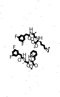 COC(=O)[C@H](CCCCN(C)C)NC(=O)[C@H](C)NC(=O)Cc1cc(F)cc(F)c1.COC(=O)[C@H](Cc1ccccn1)NC(=O)[C@H](C)NC(=O)Cc1cc(F)cc(F)c1